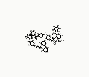 COC(=O)C(Cc1ccc(Oc2ccc(C(=O)c3ccccc3NC(Cc3ccc(OCCn4c5ccccc5c5ccccc54)cc3)C(=O)OC)cc2)cc1)Nc1ccccc1C(=O)c1ccc(F)cc1